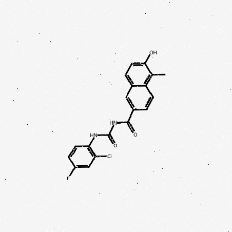 Cc1c(O)ccc2cc(C(=O)NC(=O)Nc3ccc(F)cc3Cl)ccc12